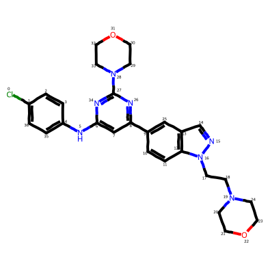 Clc1ccc(Nc2cc(-c3ccc4c(cnn4CCN4CCOCC4)c3)nc(N3CCOCC3)n2)cc1